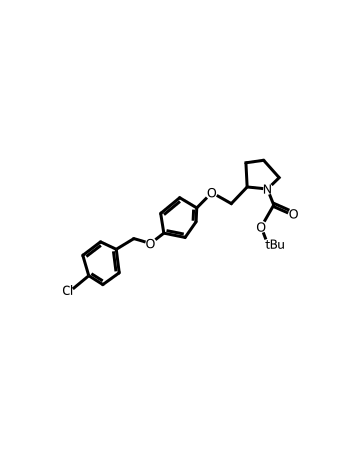 CC(C)(C)OC(=O)N1CCCC1COc1ccc(OCc2ccc(Cl)cc2)cc1